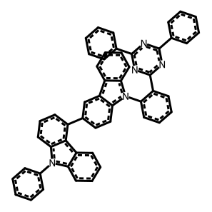 c1ccc(-c2nc(-c3ccccc3)nc(-c3ccccc3-n3c4ccccc4c4cc(-c5cccc6c5c5ccccc5n6-c5ccccc5)ccc43)n2)cc1